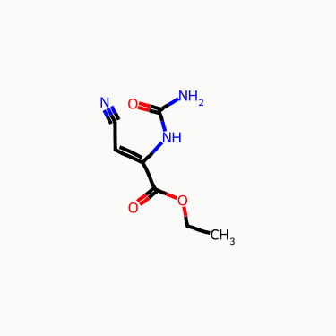 CCOC(=O)C(=CC#N)NC(N)=O